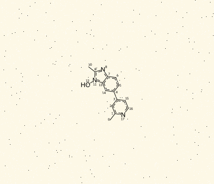 Cc1cc(-c2ccc3nc(C)n(O)c3c2)ccn1